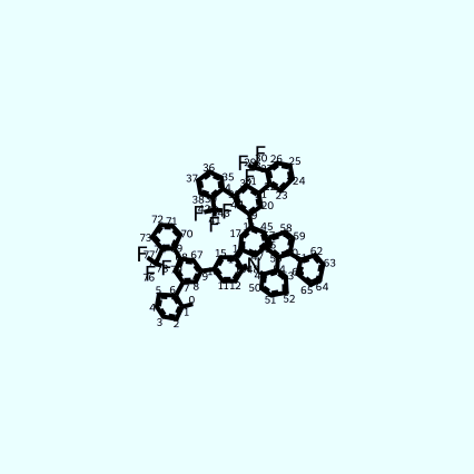 Cc1ccccc1-c1cc(-c2ccc3c(c2)c2cc(-c4cc(-c5ccccc5C(F)(F)F)cc(-c5ccccc5C(F)(F)F)c4)ccc2n3-c2ccccc2-c2ccccc2-c2ccccc2)cc(-c2ccccc2C(F)(F)F)c1